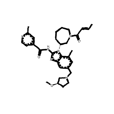 CC=CC(=O)N1CCCC[C@@H](n2c(NC(=O)c3ccnc(C)c3)nc3cc(CN4CC[C@@H](OC)C4)cc(C)c32)C1